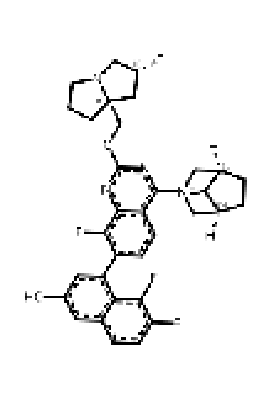 Oc1cc(-c2ccc3c(N4C[C@H]5CC[C@@H](C4)C5F)nc(OC[C@@]45CCCN4C[C@H](F)C5)nc3c2F)c2c(F)c(F)ccc2c1